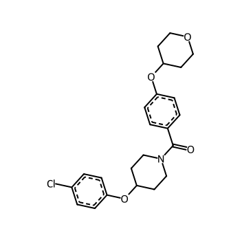 O=C(c1ccc(OC2CCOCC2)cc1)N1CCC(Oc2ccc(Cl)cc2)CC1